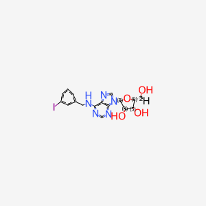 [2H]C(O)[C@H]1O[C@@H](n2cnc3c(NCc4cccc(I)c4)ncnc32)[C@H](O)[C@@H]1O